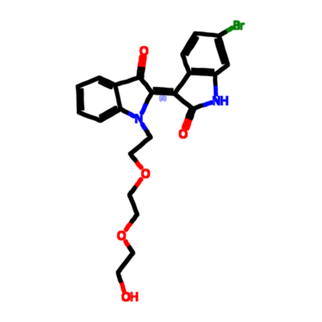 O=C1Nc2cc(Br)ccc2/C1=C1\C(=O)c2ccccc2N1CCOCCOCCO